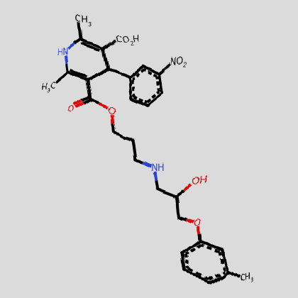 CC1=C(C(=O)O)C(c2cccc([N+](=O)[O-])c2)C(C(=O)OCCCNCC(O)COc2cccc(C)c2)=C(C)N1